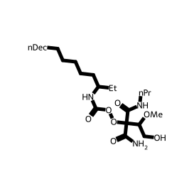 CCCCCCCCCCCCCCCC(CC)NC(=O)OOC(C(N)=O)(C(=O)NCCC)C(CO)OC